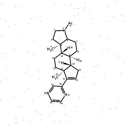 CC(=O)N1CC[C@@]2(C)C1CC[C@@H]1[C@@H]2CC[C@]2(C)C(c3cnccn3)=CC[C@@H]12